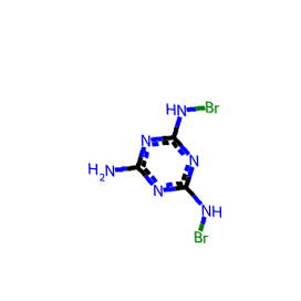 Nc1nc(NBr)nc(NBr)n1